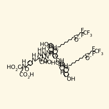 C[C@]12CC[C@@H]3c4ccc(O)cc4C[C@@H](CCCCCCCCC[S+]([O-])CCCC(F)(F)C(F)(F)F)[C@H]3[C@@H]1CC[C@@H]2O.C[C@]12CC[C@@H]3c4ccc(O)cc4C[C@@H](CCCCCCCCC[S+]([O-])CCCC(F)(F)C(F)(F)F)[C@H]3[C@@H]1CC[C@@H]2O.Nc1nc(=O)c2c([nH]1)NCC(CNc1ccc(C(=O)N[C@@H](CCC(=O)O)C(=O)O)cc1)N2C=O